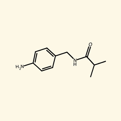 CC(C)C(=O)NCc1ccc(N)cc1